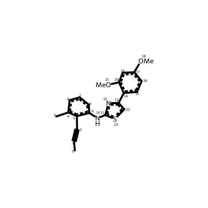 CC#Cc1c(C)cccc1Nc1nc(-c2ccc(OC)cc2OC)cs1